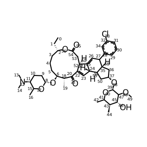 CC[C@H]1CCC[C@H](O[C@H]2CC[C@H](N(C)C)C(C)O2)[C@@H](C)C(=O)C2=C[C@@H]3C(=CC(c4cccc(Cl)c4)[C@@H]4C[C@@H](O[C@@H]5OC(C)[C@H](C)[C@@H](O)C5OC)C[C@@H]34)[C@@H]2CC(=O)O1